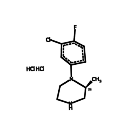 C[C@H]1CNCCN1c1ccc(F)c(Cl)c1.Cl.Cl